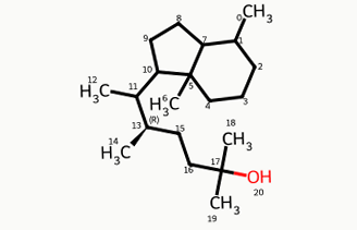 CC1CCCC2(C)C1CCC2C(C)[C@H](C)CCC(C)(C)O